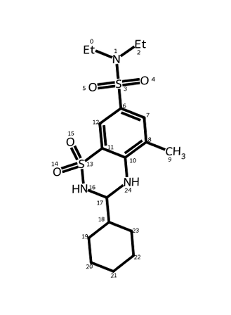 CCN(CC)S(=O)(=O)c1cc(C)c2c(c1)S(=O)(=O)NC(C1CCCCC1)N2